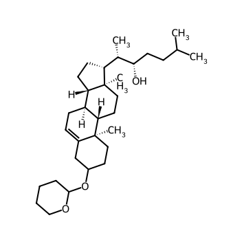 CC(C)CC[C@H](O)[C@@H](C)[C@H]1CC[C@H]2[C@@H]3CC=C4CC(OC5CCCCO5)CC[C@]4(C)[C@H]3CC[C@]12C